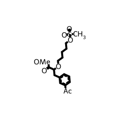 COC(=O)C(Cc1cccc(C(C)=O)c1)OCCCCCOS(C)(=O)=O